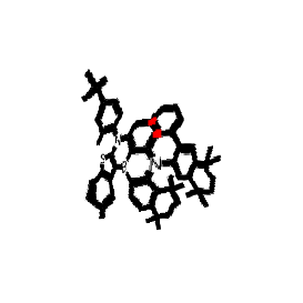 Cc1cc2c3c(c1)N(c1cc4c(cc1-c1ccccc1)C(C)(C)CCC4(C)C)c1c(ccc4c1C(C)(C)CCC4(C)C)B3c1c(sc3ccc(C)cc13)N2c1ccc(C(C)(C)C)cc1C